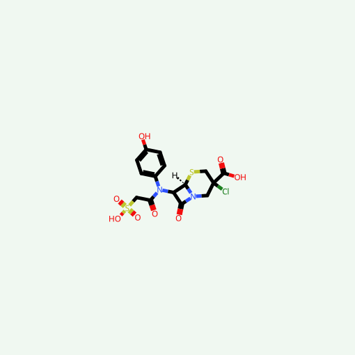 O=C(CS(=O)(=O)O)N(c1ccc(O)cc1)C1C(=O)N2CC(Cl)(C(=O)O)CS[C@H]12